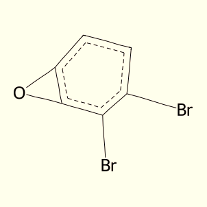 Brc1ccc2c(c1Br)O2